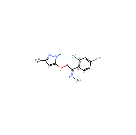 CC(C)CO/N=C(/COc1cc(C(F)(F)F)nn1C)c1ccc(Cl)cc1Cl